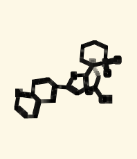 O=C(O)C[C@]1(c2ccc(-c3ccc4ncccc4c3)s2)CCCCS1(=O)=O